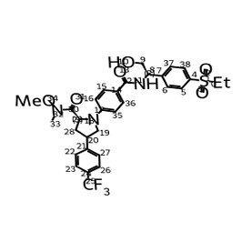 CCS(=O)(=O)c1ccc([C@H](CO)NC(=O)c2ccc(N3CC(c4ccc(C(F)(F)F)cc4)C[C@H]3C(=O)N(C)OC)cc2)cc1